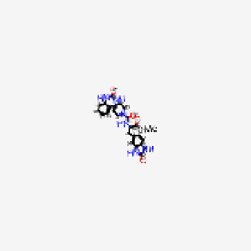 COC(=O)[C@@H](Cc1ccc2[nH]c(=O)[nH]c2c1)NC(=O)N1CCC2(CC1)NC(=O)Nc1ccccc12